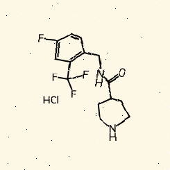 Cl.O=C(NCc1ccc(F)cc1C(F)(F)F)C1CCNCC1